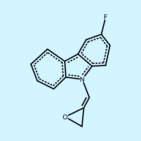 Fc1ccc2c(c1)c1ccccc1n2C=C1CO1